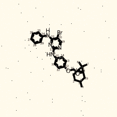 CC1CCC2C(C)(C)C2(OCOc2ccc(Nc3ncc(Br)c(Nc4ccccc4)n3)cc2)C1